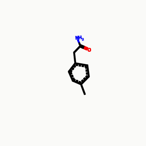 Cc1ccc(CC(N)=O)cc1